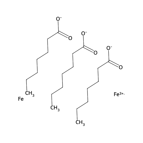 CCCCCCC(=O)[O-].CCCCCCC(=O)[O-].CCCCCCC(=O)[O-].[Fe+3].[Fe]